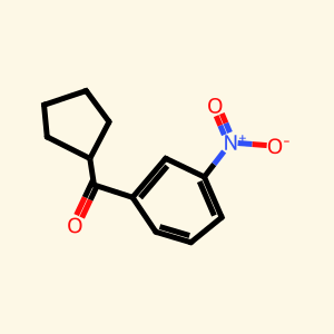 O=C(c1cccc([N+](=O)[O-])c1)C1CCCC1